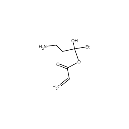 C=CC(=O)OC(O)(CC)CCN